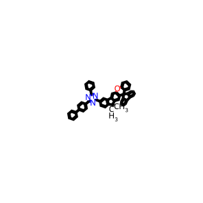 CC1(C)c2ccc(-c3nc(-c4ccccc4)nc(-c4ccc(-c5ccccc5)cc4)n3)cc2-c2cc3c(cc21)C1(c2ccccc2O3)c2ccccc2-c2ccccc21